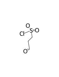 O=CCCS(=O)(=O)Cl